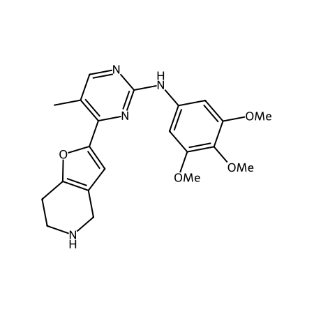 COc1cc(Nc2ncc(C)c(-c3cc4c(o3)CCNC4)n2)cc(OC)c1OC